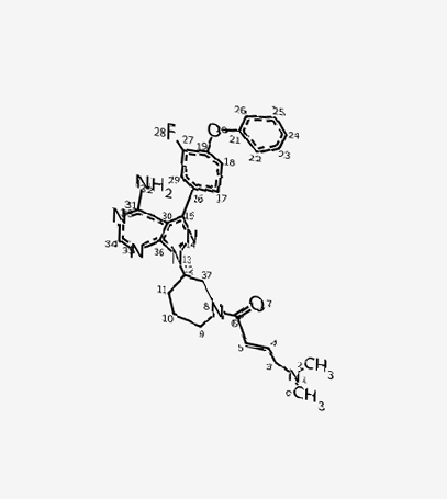 CN(C)CC=CC(=O)N1CCCC(n2nc(-c3ccc(Oc4ccccc4)c(F)c3)c3c(N)ncnc32)C1